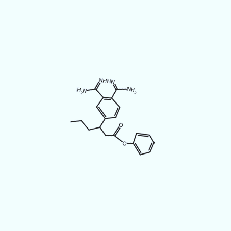 CCCC(CC(=O)Oc1ccccc1)c1ccc(C(=N)N)c(C(=N)N)c1